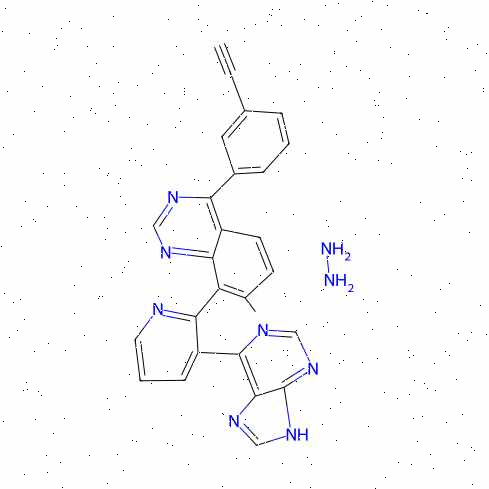 C#Cc1cccc(-c2ncnc3c(-c4ncccc4-c4ncnc5[nH]cnc45)c(C)ccc23)c1.NN